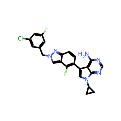 Nc1ncnc2c1c(-c1ccc3nn(Cc4cc(F)cc(Cl)c4)cc3c1F)cn2C1CC1